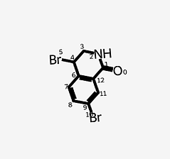 O=C1NCC(Br)c2ccc(Br)cc21